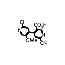 COc1cnc(Cl)cc1-c1cc(C#N)ncc1C(=O)O